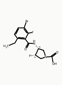 CCc1ccc(Br)c(F)c1C(=O)N[C@@H]1CN(C(=O)O)C[C@@H]1F